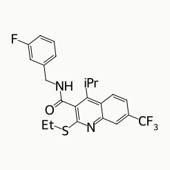 CCSc1nc2cc(C(F)(F)F)ccc2c(C(C)C)c1C(=O)NCc1cccc(F)c1